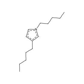 CCCCCc1[c]n(CCCCC)cc1